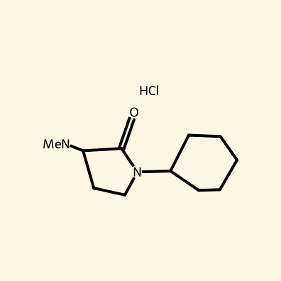 CNC1CCN(C2CCCCC2)C1=O.Cl